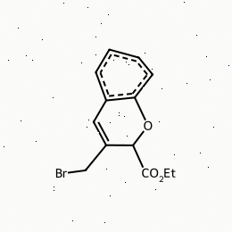 CCOC(=O)C1Oc2ccccc2C=C1CBr